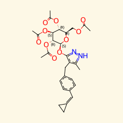 CC(=O)OC[C@H]1O[C@@H](Oc2n[nH]c(C)c2Cc2ccc(C=C3CC3)cc2)[C@H](OC(C)=O)[C@@H](OC(C)=O)[C@@H]1OC(C)=O